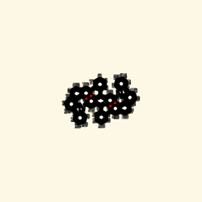 c1ccc(-c2c3ccc(-n4c5ccccc5c5ccccc54)cc3c(-c3ccccc3-c3ccc4ccccc4c3)c3ccc(-n4c5ccccc5c5ccccc54)cc23)c(-c2ccc3ccccc3c2)c1